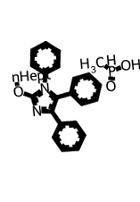 CCCCCCCOc1nc(-c2ccccc2)c(-c2ccccc2)n1-c1ccccc1.C[PH](=O)O